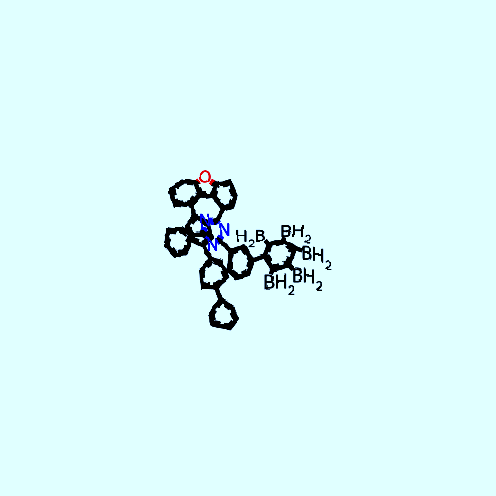 Bc1c(B)c(B)c(-c2cccc(-c3nc(-c4ccccc4)nc(-c4cccc5oc6cccc(-c7ccc(-c8ccc(-c9ccccc9)cc8)cc7)c6c45)n3)c2)c(B)c1B